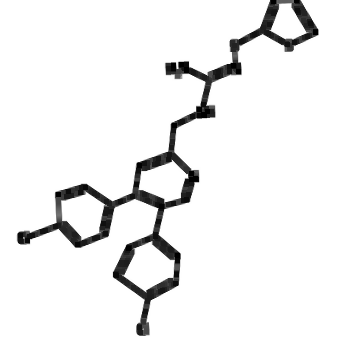 N/C(=N\Sc1cccs1)NCc1cc(-c2ccc(Cl)cc2)c(-c2ccc(Cl)cc2)cn1